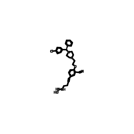 N#Cc1cc(C#CCCNNO)ccc1OCCN1CCN([C@H](c2ccccc2)c2ccc(Cl)cc2)CC1